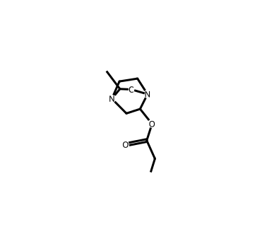 CCC(=O)OC1CN2CCN1CC2C